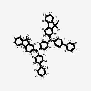 CC1(C)c2ccccc2-c2ccc(N(c3ccc(-c4ccccc4)cc3)c3ccc(N(c4ccc(-c5ccccc5)cc4)c4ccc5c(c4)C(C)(C)c4ccccc4-5)cc3)cc21